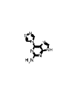 Nc1nc(-n2cnnc2)c2nc[nH]c2n1